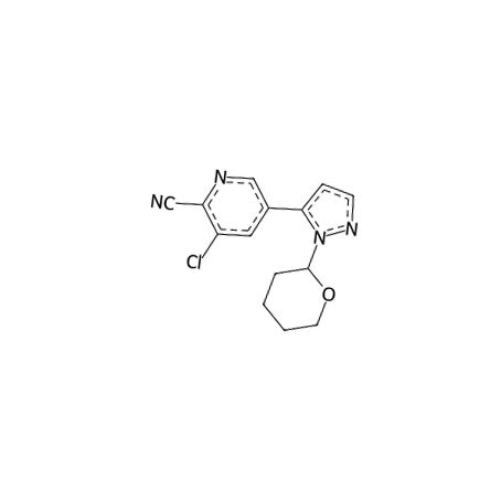 N#Cc1ncc(-c2ccnn2C2CCCCO2)cc1Cl